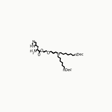 CCCCCCCCCCCCCCCCN(CCCCCCCCCCCCCCCC)CCCOCCOC(=O)C(N)Cc1cnc[nH]1